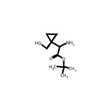 CC(C)(C)OC(=O)C(N)C1(CO)CC1